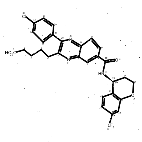 O=C(O)CCCCc1nc2cc(C(=O)N[C@H]3CCOc4cc(C(F)(F)F)ccc43)ccc2nc1-c1ccc(Cl)cc1